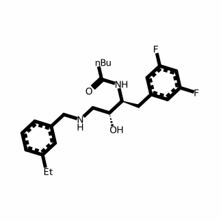 [CH2]CCCC(=O)N[C@@H](Cc1cc(F)cc(F)c1)[C@H](O)CNCc1cccc(CC)c1